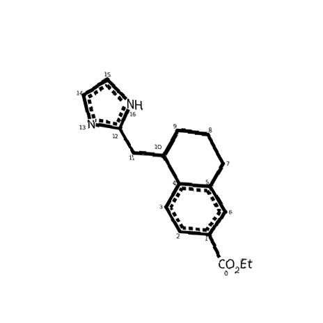 CCOC(=O)c1ccc2c(c1)CCCC2Cc1ncc[nH]1